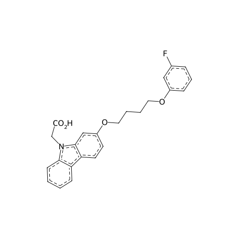 O=C(O)Cn1c2ccccc2c2ccc(OCCCCOc3cccc(F)c3)cc21